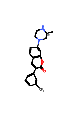 C[C@H]1CN(c2ccc3cc(-c4cccc(C(F)(F)F)c4)c(=O)oc3c2)CCN1